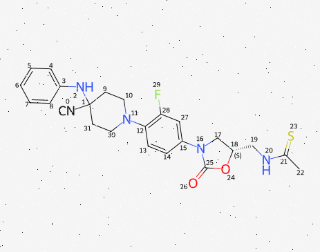 [C-]#[N+]C1(Nc2ccccc2)CCN(c2ccc(N3C[C@H](CNC(C)=S)OC3=O)cc2F)CC1